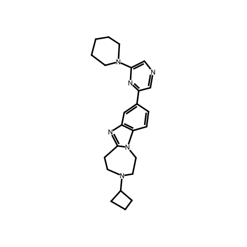 c1cc2c(cc1-c1cncc(N3CCCCC3)n1)nc1n2CCN(C2CCC2)CC1